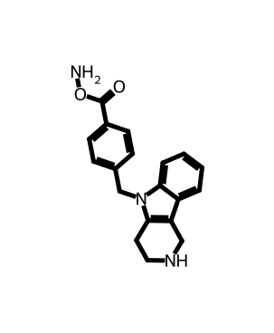 NOC(=O)c1ccc(Cn2c3c(c4ccccc42)CNCC3)cc1